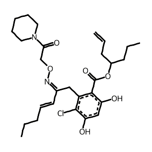 C=CCC(CCC)OC(=O)c1c(O)cc(O)c(Cl)c1CC(/C=C/CCC)=N\OCC(=O)N1CCCCC1